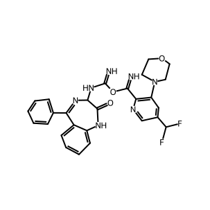 N=C(NC1N=C(c2ccccc2)c2ccccc2NC1=O)OC(=N)c1ncc(C(F)F)cc1N1CCOCC1